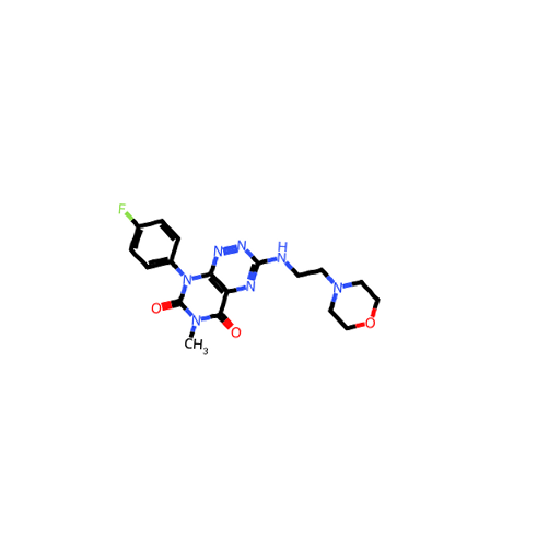 Cn1c(=O)c2nc(NCCN3CCOCC3)nnc2n(-c2ccc(F)cc2)c1=O